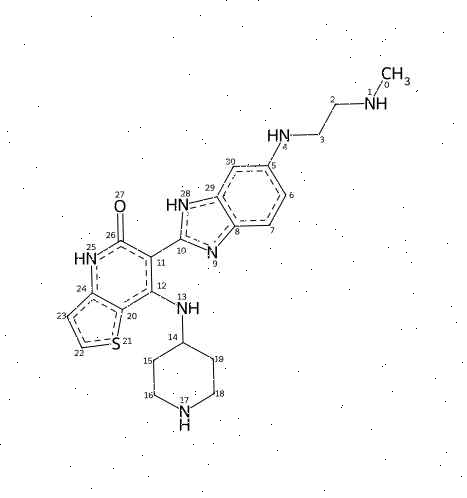 CNCCNc1ccc2nc(-c3c(NC4CCNCC4)c4sccc4[nH]c3=O)[nH]c2c1